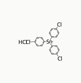 Cl.Clc1cc[c]([Sn]([c]2ccc(Cl)cc2)[c]2ccc(Cl)cc2)cc1